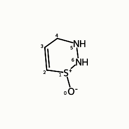 [O-][S+]1C=CCNN1